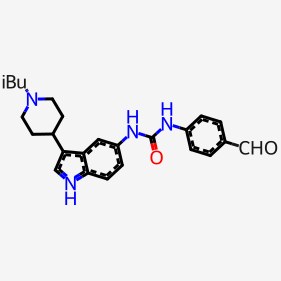 CCC(C)N1CCC(c2c[nH]c3ccc(NC(=O)Nc4ccc(C=O)cc4)cc23)CC1